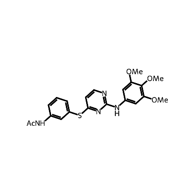 COc1cc(Nc2nccc(Sc3cccc(NC(C)=O)c3)n2)cc(OC)c1OC